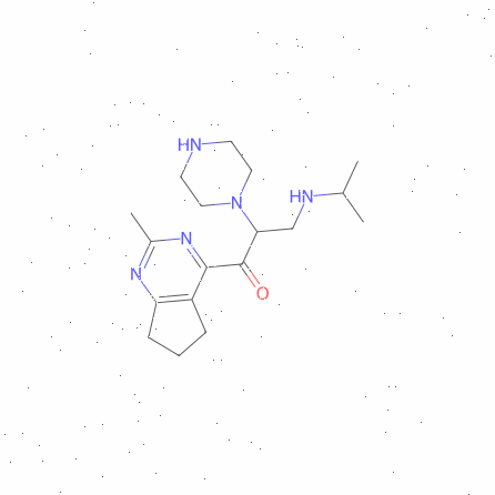 Cc1nc2c(c(C(=O)C(CNC(C)C)N3CCNCC3)n1)CCC2